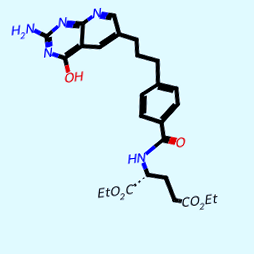 CCOC(=O)CC[C@@H](NC(=O)c1ccc(CCCc2cnc3nc(N)nc(O)c3c2)cc1)C(=O)OCC